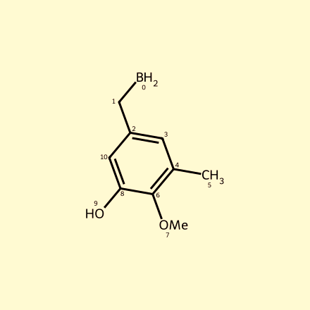 BCc1cc(C)c(OC)c(O)c1